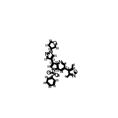 Cc1noc(C)c1-c1cnc2c(-c3cnn(C4CCOC4)c3)cn(S(=O)(=O)c3ccccc3)c2c1